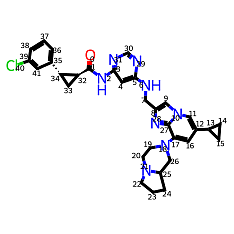 O=C(Nc1cc(NCc2cn3cc(C4CC4)cc(N4CCN5CCCC5C4)c3n2)ncn1)[C@H]1C[C@@H]1c1cccc(Cl)c1